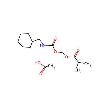 CC(=O)O.CC(C)C(=O)OCOC(=O)NCC1CCCCC1